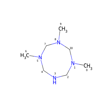 CN1CNCN(C)CN(C)C1